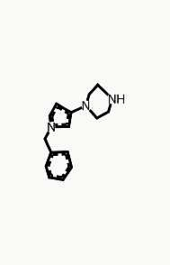 c1ccc(Cn2ccc(N3CCNCC3)c2)cc1